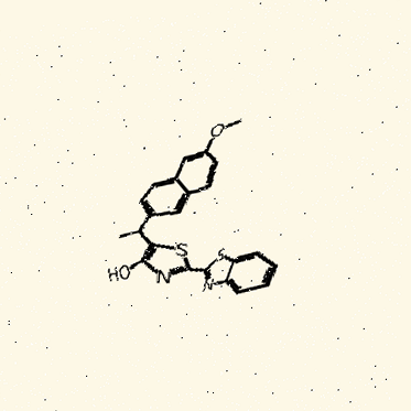 COc1ccc2cc(C(C)c3sc(-c4nc5ccccc5s4)nc3O)ccc2c1